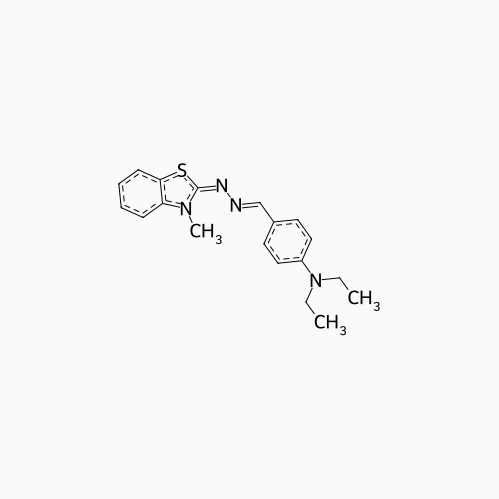 CCN(CC)c1ccc(C=NN=c2sc3ccccc3n2C)cc1